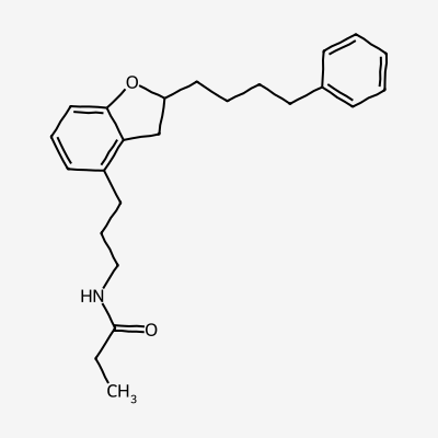 CCC(=O)NCCCc1cccc2c1CC(CCCCc1ccccc1)O2